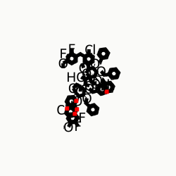 COc1ccc(Cc2cc([C@]34OC[C@@](C(O)C(O)C5(CO)O[C@@](OC)(c6ccc(Cl)c(Cc7ccc(OC)c(F)c7F)c6)[C@H](OCc6ccccc6)[C@@H](OCc6ccccc6)[C@H]5OCc5ccccc5)(O3)[C@H](OCc3ccccc3)[C@H](OCc3ccccc3)[C@H]4OCc3ccccc3)ccc2Cl)c(F)c1F